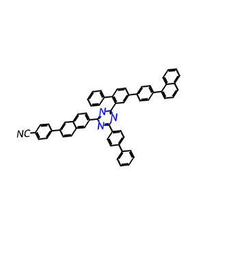 N#Cc1ccc(-c2ccc3cc(-c4nc(-c5ccc(-c6ccccc6)cc5)nc(-c5cc(-c6ccc(-c7cccc8ccccc78)cc6)ccc5-c5ccccc5)n4)ccc3c2)cc1